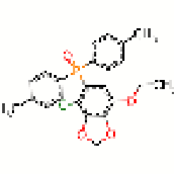 CCOc1cc(P(=O)(c2ccc(C)cc2)c2ccc(C)cc2)c(Cl)c2c1OCO2